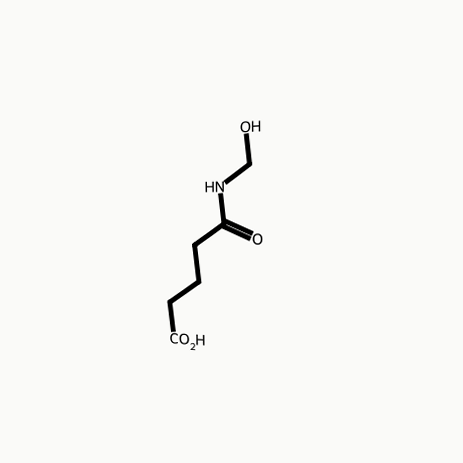 O=C(O)CCCC(=O)NCO